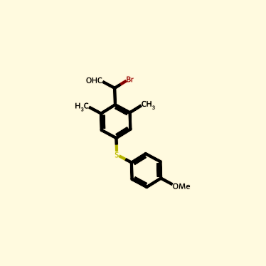 COc1ccc(Sc2cc(C)c(C(Br)C=O)c(C)c2)cc1